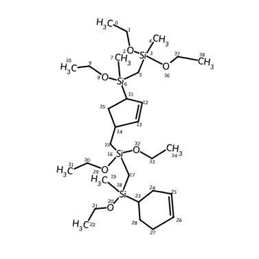 CCO[Si](C)(C[Si](C)(OCC)C1C=CC(C[Si](C[Si](C)(OCC)C2CC=CCC2)(OCC)OCC)C1)OCC